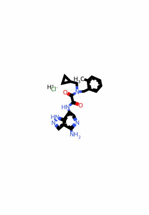 Cc1ccccc1CN(CC1CC1)C(=O)C(=O)Nc1cnc(N)c2cn[nH]c12.[Cl-].[H+]